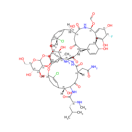 CN[C@H](CC(C)C)C(=O)NC1C(=O)C[C@@H](CC(N)=O)C(=O)N[C@H]2C(=O)C[C@H]3C(=O)C[C@H](C(=O)N[C@@H](OC=O)C4=C[C@H](O)[C@H](F)C(O)=C4[C@H]4C[C@@H]3C=CC4O)[C@H](O)C3=CC=C(Oc4cc2cc(c4OC2O[C@@H](CO)[C@@H](O)[C@H](O)[C@@H]2O[C@@H]2C[C@](C)(N)[C@H](O)[C@@H](C)O2)O[C@@H]2CCC(C=C2Cl)[C@H]1O)[C@@H](Cl)C3